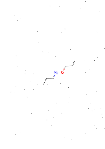 CC=C[N]OCCC